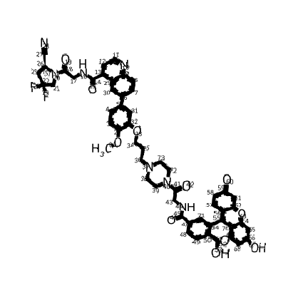 COc1ccc(-c2ccc3nccc(C(=O)NCC(=O)N4CC(F)(F)C[C@H]4C#N)c3c2)cc1OCCCN1CCN(C(=O)CNC(=O)c2ccc(C(=O)O)c(-c3c4ccc(=O)cc-4oc4cc(O)ccc34)c2)CC1